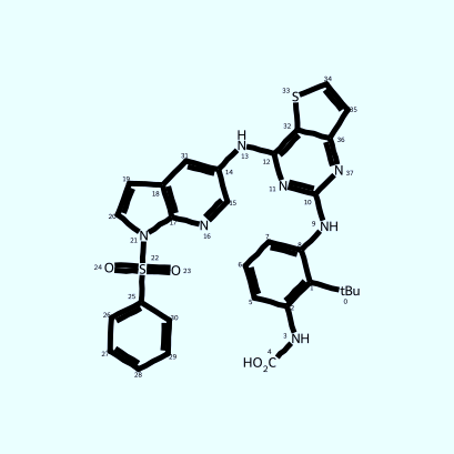 CC(C)(C)c1c(NC(=O)O)cccc1Nc1nc(Nc2cnc3c(ccn3S(=O)(=O)c3ccccc3)c2)c2sccc2n1